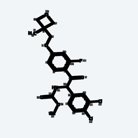 CC1(COc2ccc(C(=O)C(NC(=O)OC(C)(C)C)c3ccc(Cl)c(Cl)c3)c(F)c2)COC1